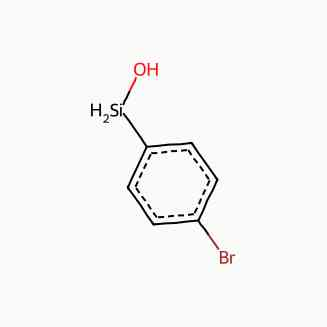 O[SiH2]c1ccc(Br)cc1